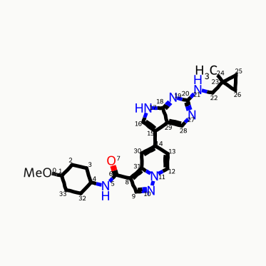 COC1CCC(NC(=O)c2cnn3ccc(-c4c[nH]c5nc(NCC6(C)CC6)ncc45)cc23)CC1